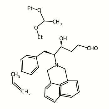 C=CC.CCOC(C)OCC.O=CCC[C@H](O)[C@H](Cc1ccccc1)N(Cc1ccccc1)Cc1ccccc1